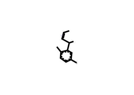 C/C=C\C(C)c1cc(I)ccc1C